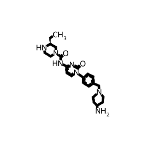 CC[C@H]1CN(C(=O)Nc2ccn(-c3ccc(CN4CCC(N)CC4)cc3)c(=O)n2)CCN1